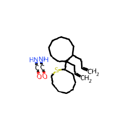 C=CCC1CCCCCCCC1(CC=C)C1CCCCCCCS1.N=C=O.N=C=O